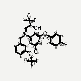 O[C@H](CN(Cc1cccc(OC(F)(F)F)c1)c1nc(Cl)nc(Oc2ccc(F)cc2)n1)C(F)(F)F